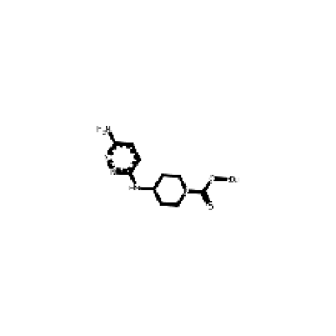 CC(C)(C)OC(=O)N1CCC(Nc2ccc(N)nn2)CC1